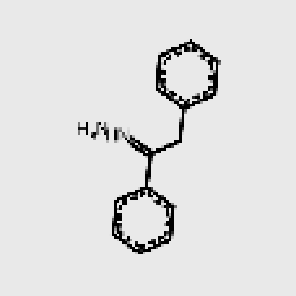 N.N=C(Cc1ccccc1)c1ccccc1